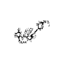 COc1ncc(Cl)cc1SNc1nccc(C#Cc2cnc(N)nc2)c1Cl